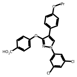 CC(C)Oc1ccc(-c2cn(-c3cc(Cl)cc(Cl)c3)nc2Oc2ccc(C(=O)O)cc2)cc1